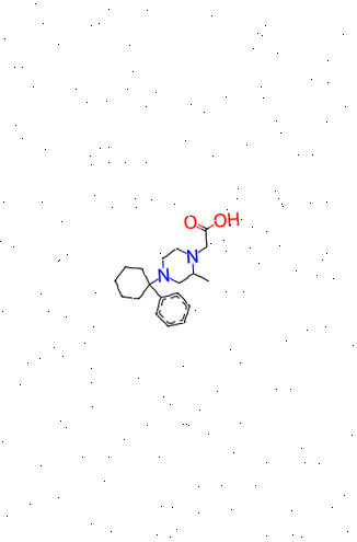 CC1CN(C2(c3ccccc3)CCCCC2)CCN1CC(=O)O